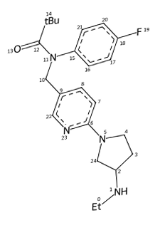 CCNC1CCN(c2ccc(CN(C(=O)C(C)(C)C)c3ccc(F)cc3)cn2)C1